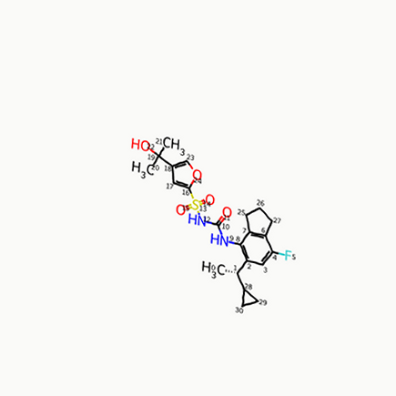 C[C@H](c1cc(F)c2c(c1NC(=O)NS(=O)(=O)c1cc(C(C)(C)O)co1)CCC2)C1CC1